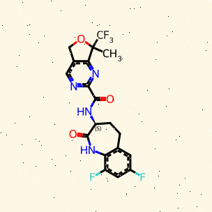 CC1(C(F)(F)F)OCc2cnc(C(=O)N[C@H]3CCc4cc(F)cc(F)c4NC3=O)nc21